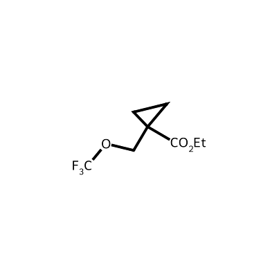 CCOC(=O)C1(COC(F)(F)F)CC1